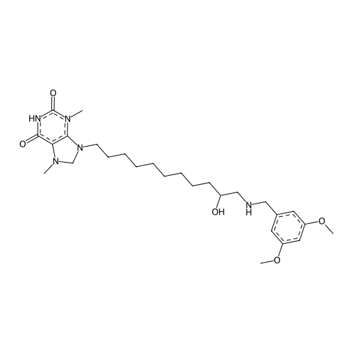 COc1cc(CNCC(O)CCCCCCCCCN2CN(C)c3c2n(C)c(=O)[nH]c3=O)cc(OC)c1